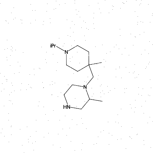 CC(C)N1CCC(C)(CN2CCNCC2C)CC1